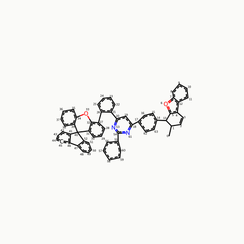 CC1C=Cc2c(oc3ccccc23)C1c1ccc(-c2cc(-c3ccccc3-c3cccc4c3Oc3ccccc3C43c4ccccc4-c4ccccc43)nc(-c3ccccc3)n2)cc1